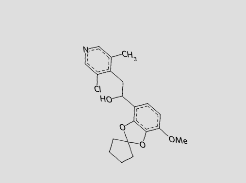 COc1ccc(C(O)Cc2c(C)cncc2Cl)c2c1OC1(CCCC1)O2